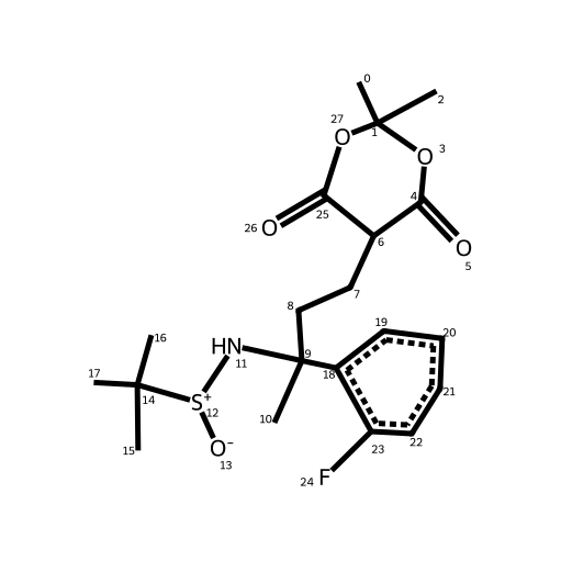 CC1(C)OC(=O)C(CCC(C)(N[S+]([O-])C(C)(C)C)c2ccccc2F)C(=O)O1